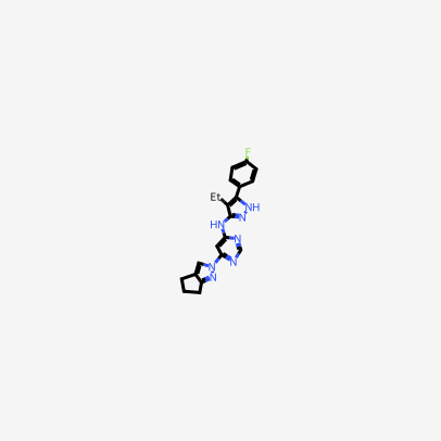 CCc1c(Nc2cc(-n3cc4c(n3)CCC4)ncn2)n[nH]c1-c1ccc(F)cc1